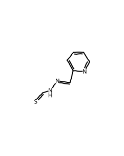 S=CN/N=C/c1ccccn1